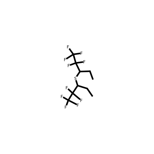 CCC(SC(CC)C(F)(F)C(F)(F)F)C(F)(F)C(F)(F)F